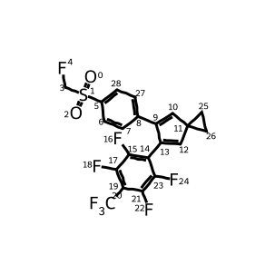 O=S(=O)(CF)c1ccc(C2=CC3(C=C2c2c(F)c(F)c(C(F)(F)F)c(F)c2F)CC3)cc1